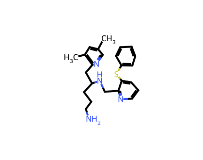 Cc1cnc(CC(CCCN)NCc2ncccc2Sc2ccccc2)c(C)c1